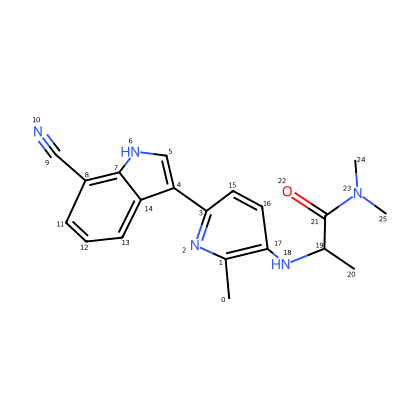 Cc1nc(-c2c[nH]c3c(C#N)cccc23)ccc1NC(C)C(=O)N(C)C